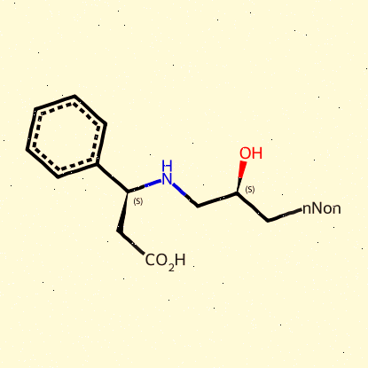 CCCCCCCCCC[C@H](O)CN[C@@H](CC(=O)O)c1ccccc1